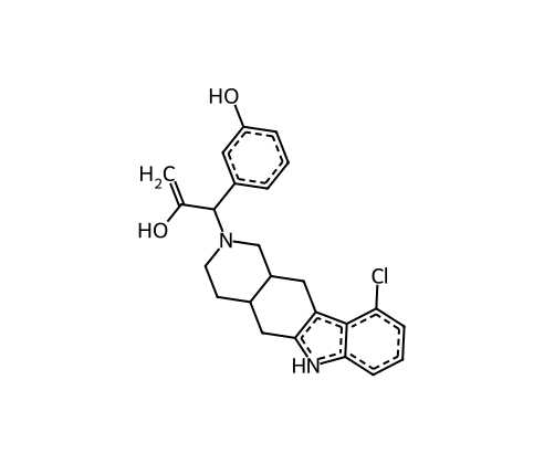 C=C(O)C(c1cccc(O)c1)N1CCC2Cc3[nH]c4cccc(Cl)c4c3CC2C1